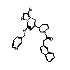 O=C(Cc1ccc2ccccc2c1)N1CCCC(c2cc(NCc3cccnc3)n3ncc(Br)c3n2)C1